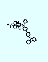 CC(C)(C)c1ccc(N(c2ccccc2)c2ccc(-c3ccc(-n4c5c(c6ccccc64)CCC=C5)cc3)cc2)cc1